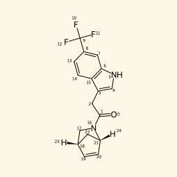 O=C(Cc1c[nH]c2cc(C(F)(F)F)ccc12)N1C[C@H]2C=C[C@@H]1C2